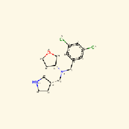 Clc1cc(Cl)cc(CN(C[C@@H]2CCNC2)[C@@H]2CCOC2)c1